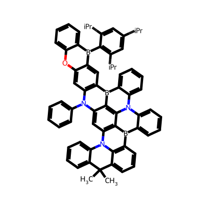 CC(C)c1cc(C(C)C)c(B2c3ccccc3Oc3cc4c(cc32)B2c3ccccc3N3c5ccccc5B5c6cccc7c6N(c6ccccc6C7(C)C)c6cc(c2c3c65)N4c2ccccc2)c(C(C)C)c1